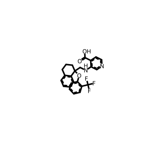 O=C(O)c1ccncc1NCC1(Oc2ccccc2C(F)(F)F)CCCc2ccccc21